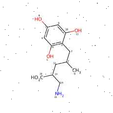 CC(Cc1c(O)cc(O)cc1O)CC(CN)C(=O)O